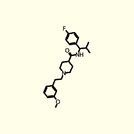 COc1cccc(CCN2CCC(C(=O)NC(c3ccc(F)cc3)C(C)C)CC2)c1